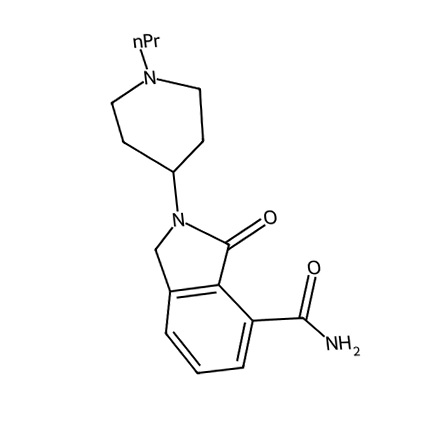 CCCN1CCC(N2Cc3cccc(C(N)=O)c3C2=O)CC1